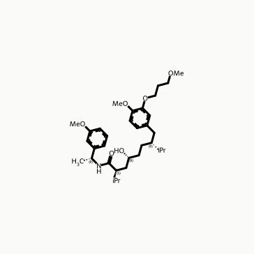 COCCCOc1cc(C[C@@H](CC[C@@H](O)C[C@H](C(=O)N[C@H](C)c2cccc(OC)c2)C(C)C)C(C)C)ccc1OC